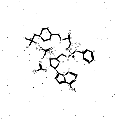 CC(=O)O[C@H]1[C@H](c2ccc3c(N)ncnn23)O[C@](C)(CO[P@](=O)(N[C@@H](C)C(=O)OCC2CCN(CC(F)(F)F)CC2)Oc2ccccc2)[C@H]1OC(C)=O